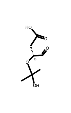 CC(C)(O)O[C@@H](C=O)CC(=O)O